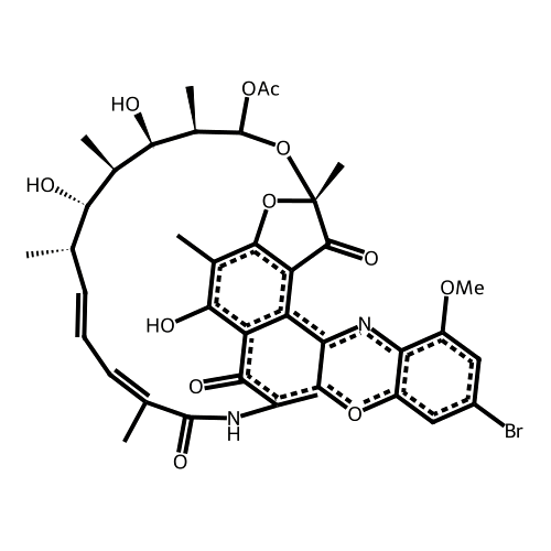 COc1cc(Br)cc2oc3c4c(=O)c5c(O)c(C)c6c(c5c-3nc12)C(=O)[C@](C)(O6)OC(OC(C)=O)[C@H](C)[C@H](O)[C@H](C)[C@@H](O)[C@@H](C)/C=C/C=C(/C)C(=O)N4